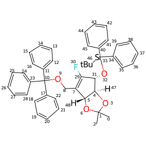 CC1(C)O[C@H]2[C@H](O1)C(COC(c1ccccc1)(c1ccccc1)c1ccccc1)=C(F)[C@@H]2O[Si](c1ccccc1)(c1ccccc1)C(C)(C)C